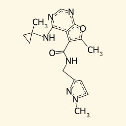 Cc1oc2ncnc(NC3(C)CC3)c2c1C(=O)NCc1ccn(C)n1